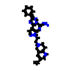 Cc1cnc2c(c1)CN(CCn1ncc3c1nc(N)n1nc(-c4ccccc4)nc31)CC2